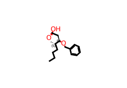 CCCC[C@H](C)[C@@H](CC(=O)O)OCc1ccccc1